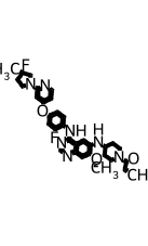 C=CC(=O)N1CCC(Nc2cc3c(Nc4ccc(Oc5ccnc(N6CCC(C)(F)C6)c5)cc4F)ncnc3cc2OC)CC1